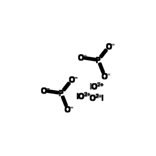 [O+2].[O+2].[O+2].[O-]P([O-])[O-].[O-]P([O-])[O-]